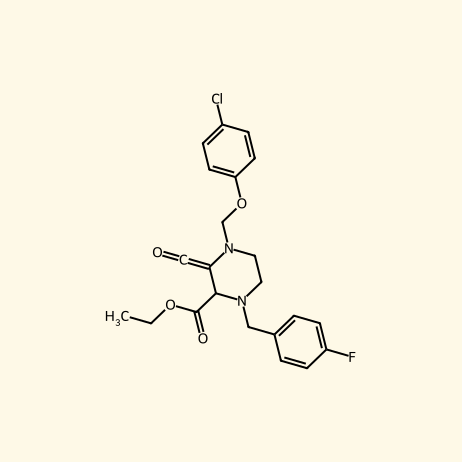 CCOC(=O)C1C(=C=O)N(COc2ccc(Cl)cc2)CCN1Cc1ccc(F)cc1